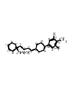 CCCCCC1(CCCCC2CCC(c3cc(F)c(C(F)(F)F)c(F)c3)CC2)CCCCC1